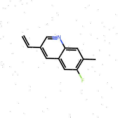 C=Cc1cnc2cc(C)c(F)cc2c1